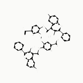 Cc1c(-c2ccccc2)nc2ccc(Br)cc2c1C(=O)Nc1ccc(C(=O)O)cc1SSc1cc(C(=O)O)ccc1NC(=O)c1c(C)c(-c2ccccc2)nc2ccc(Br)cc12